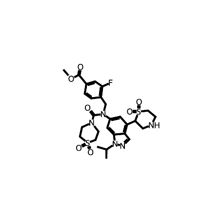 COC(=O)c1ccc(CN(C(=O)N2CCS(=O)(=O)CC2)c2cc(C3CNCCS3(=O)=O)c3cnn(C(C)C)c3c2)c(F)c1